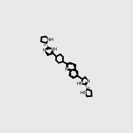 c1cc2nc(C3CCC(c4cnc([C@@H]5CCCN5)[nH]4)CC3)ccc2cc1C1CN=C([C@@H]2CCCN2)N1